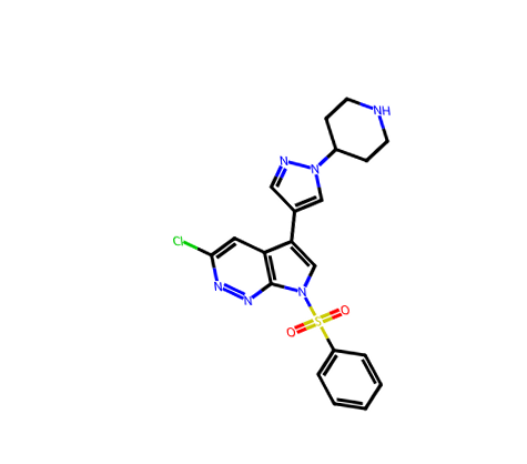 O=S(=O)(c1ccccc1)n1cc(-c2cnn(C3CCNCC3)c2)c2cc(Cl)nnc21